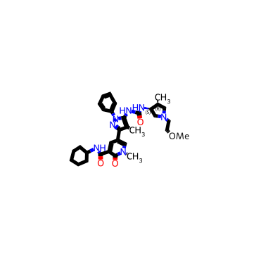 COCCN1C[C@@H](C)[C@H](NC(=O)Nc2c(C)c(-c3cc(C(=O)NC4CCCCC4)c(=O)n(C)c3)nn2-c2ccccc2)C1